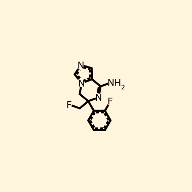 NC1=NC(CF)(c2ccccc2F)Cn2cncc21